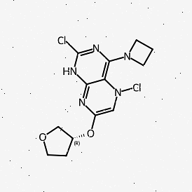 ClC1=NC(N2CCC2)=C2C(=NC(O[C@@H]3CCOC3)=CN2Cl)N1